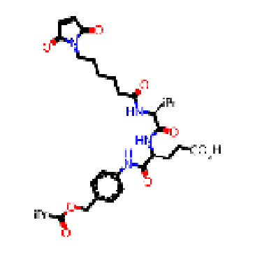 CC(C)C(=O)OCc1ccc(NC(=O)[C@H](CCC(=O)O)NC(=O)[C@@H](NC(=O)CCCCCN2C(=O)C=CC2=O)C(C)C)cc1